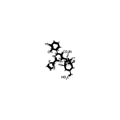 CCOC(=O)C1=C(CN2[C@@H]3C[C@H](CC(=O)O)C[C@H]2C(F)(F)C3)NC(c2nccs2)=N[C@H]1c1cccc(F)c1Cl